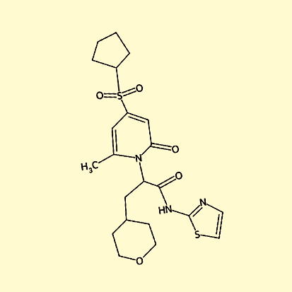 Cc1cc(S(=O)(=O)C2CCCC2)cc(=O)n1C(CC1CCOCC1)C(=O)Nc1nccs1